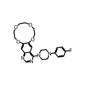 Fc1ccc(N2CCN(c3ncnc4cc5c(cc34)OCCOCCOCCO5)CC2)cc1